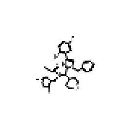 C[CH]C(=O)N(C[C@@H]1CNC[C@@H]1F)[C@@H](c1nc(-c2cc(F)ccc2F)cn1Cc1ccccc1)C1CCOCC1